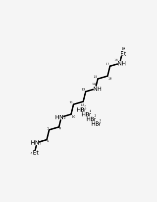 Br.Br.Br.Br.CCNCCCNCCCCNCCCNCC